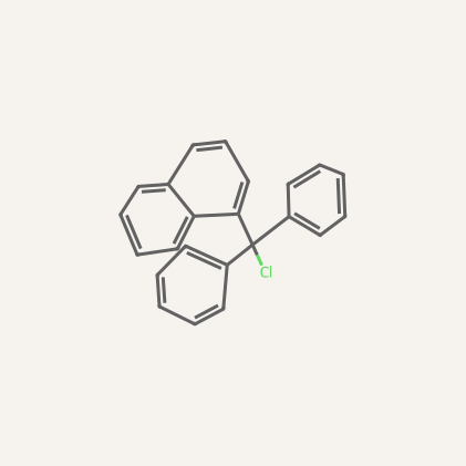 ClC(c1ccccc1)(c1ccccc1)c1cccc2ccccc12